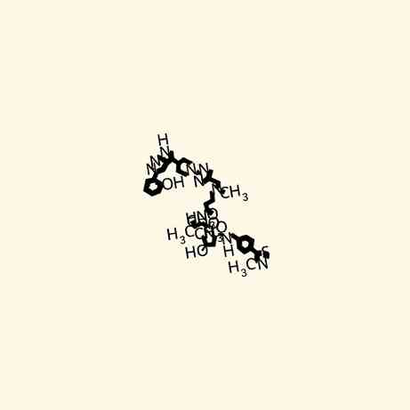 Cc1ncsc1-c1ccc(CNC(=O)[C@@H]2C[C@@H](O)CN2C(=O)C(NC(=O)CCCN(C)Cc2cnc(N3CCC(c4c[nH]c5nnc(-c6ccccc6O)cc45)CC3)nc2)C(C)(C)C)cc1